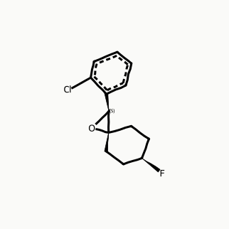 F[C@H]1CC[C@@]2(CC1)O[C@H]2c1ccccc1Cl